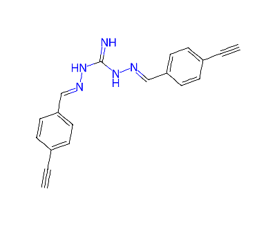 C#Cc1ccc(/C=N/NC(=N)N/N=C/c2ccc(C#C)cc2)cc1